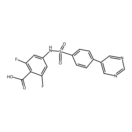 O=C(O)c1c(F)cc(NS(=O)(=O)c2ccc(-c3cncnc3)cc2)cc1F